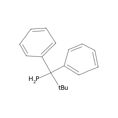 CC(C)(C)C(P)(c1ccccc1)c1ccccc1